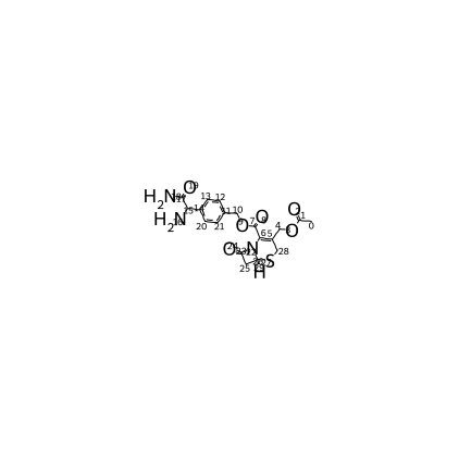 CC(=O)OCC1=C(C(=O)OCc2ccc(C(N)C(N)=O)cc2)N2C(=O)C[C@H]2SC1